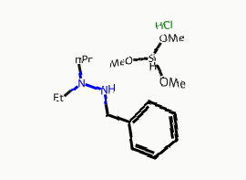 CCCN(CC)NCc1ccccc1.CO[SiH](OC)OC.Cl